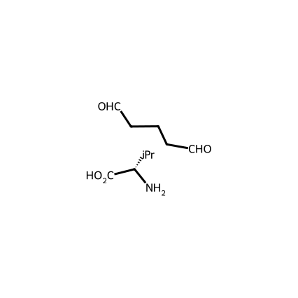 CC(C)[C@H](N)C(=O)O.O=CCCCC=O